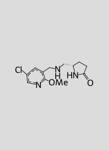 COc1ncc(Cl)cc1CNC[C@@H]1CCC(=O)N1